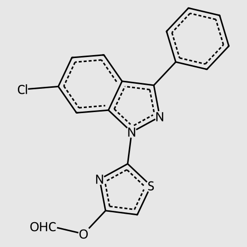 O=COc1csc(-n2nc(-c3ccccc3)c3ccc(Cl)cc32)n1